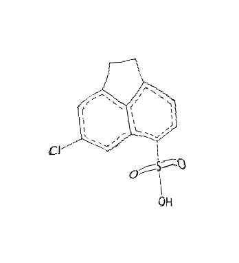 O=S(=O)(O)c1ccc2c3c(cc(Cl)cc13)CC2